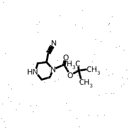 CC(C)(C)OC(=O)N1CCNCC1C#N